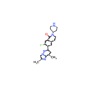 Cc1cn2nc(-c3cc4ccn(C5CCNCC5)c(=O)c4cc3F)cc(C)c2n1